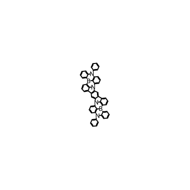 c1ccc(N2c3ccccc3B3c4c2cccc4-n2c4cc5c6cccc7c6n(c5cc4c4cccc3c42)-c2cccc3c2B7c2ccccc2N3c2ccccc2)cc1